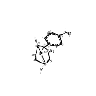 CCOc1ccc(N2C[C@@H]3CC[C@H]2CNC3)cc1